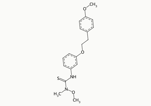 COc1ccc(CCOc2cccc(NC(=S)N(C)OC)c2)cc1